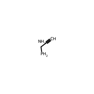 C#CCP.N